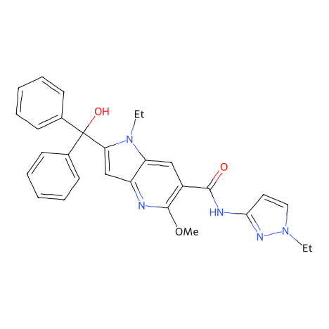 CCn1ccc(NC(=O)c2cc3c(cc(C(O)(c4ccccc4)c4ccccc4)n3CC)nc2OC)n1